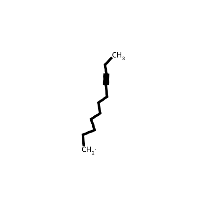 [CH2]CCCCCCC#CCC